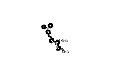 O=COc1ccnc(-c2cc(OC=O)cc(-c3cc(/C=C/c4ccc(N(c5ccccc5)c5ccccc5)cc4)ccn3)n2)c1